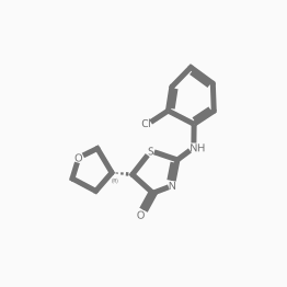 O=C1N=C(Nc2ccccc2Cl)SC1[C@@H]1CCOC1